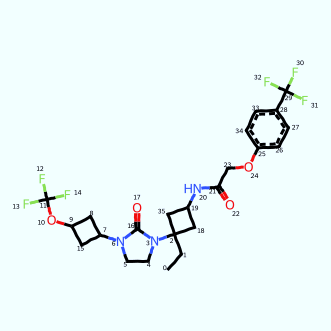 CCC1(N2CCN(C3CC(OC(F)(F)F)C3)C2=O)CC(NC(=O)COc2ccc(C(F)(F)F)cc2)C1